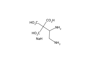 NCC(N)C(C(=O)O)(C(=O)O)C(=O)O.[NaH]